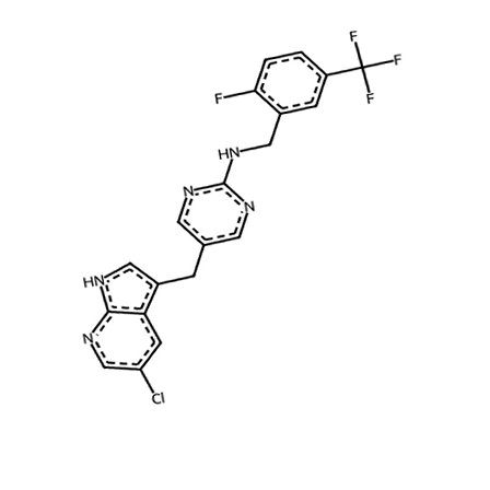 Fc1ccc(C(F)(F)F)cc1CNc1ncc(Cc2c[nH]c3ncc(Cl)cc23)cn1